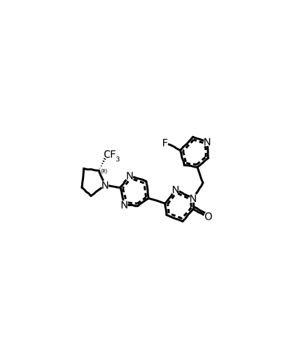 O=c1ccc(-c2cnc(N3CCC[C@@H]3C(F)(F)F)nc2)nn1Cc1cncc(F)c1